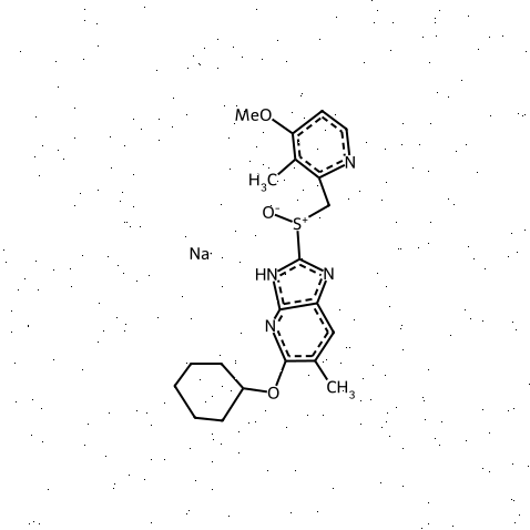 COc1ccnc(C[S+]([O-])c2nc3cc(C)c(OC4CCCCC4)nc3[nH]2)c1C.[Na]